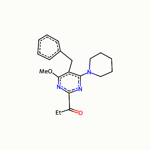 CCC(=O)c1nc(OC)c(Cc2ccccc2)c(N2CCCCC2)n1